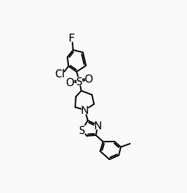 Cc1cccc(-c2csc(N3CCC(S(=O)(=O)c4ccc(F)cc4Cl)CC3)n2)c1